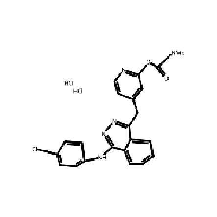 CNC(=O)Oc1cc(Cc2nnc(Nc3ccc(Cl)cc3)c3ccccc23)ccn1.Cl.Cl